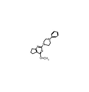 COc1nc(N2CCN(c3ccccc3)CC2)nc2c1CCC2